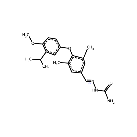 COc1ccc(Oc2c(C)cc(/C=N/NC(N)=O)cc2C)cc1C(C)C